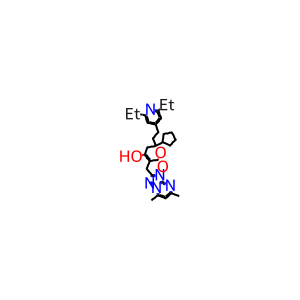 CCc1cc(CCC2(C3CCCC3)CC(O)=C(Cc3nc4nc(C)cc(C)n4n3)C(=O)O2)cc(CC)n1